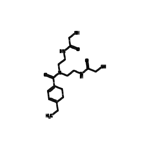 CCC1=CC=C(C(=O)N(CCNC(=O)CS)CCNC(=O)CS)CC1